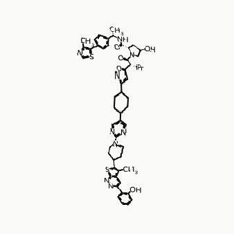 Cc1ncsc1-c1ccc([C@H](C)NC(=O)[C@@H]2C[C@@H](O)CN2C(=O)[C@@H](c2cc(C3CCC(c4cnc(N5CCC(c6sc7nnc(-c8ccccc8O)cc7c6C)CC5)nc4)CC3)no2)C(C)C)cc1